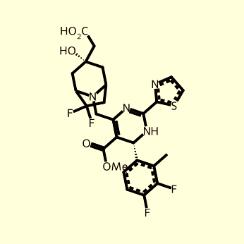 COC(=O)C1=C(CN2C3CC(F)(F)C2C[C@@](O)(CC(=O)O)C3)N=C(c2nccs2)N[C@@H]1c1ccc(F)c(F)c1C